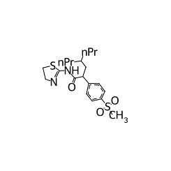 CCCC(CCC)CC(C(=O)NC1=NCCS1)c1ccc(S(C)(=O)=O)cc1